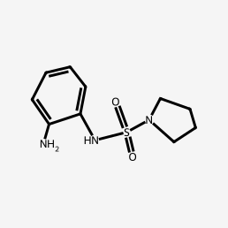 Nc1ccccc1NS(=O)(=O)N1CCCC1